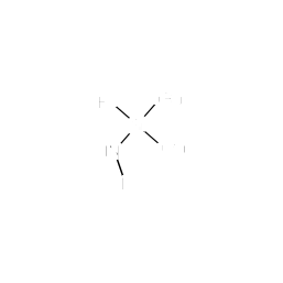 CCN[Si](CC)(C(C)(C)C)C(C)(C)C